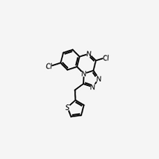 Clc1ccc2nc(Cl)c3nnc(Cc4cccs4)n3c2c1